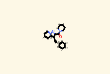 C#Cc1c(C(=O)N2CCCCC2)nn2ccccc12.c1ccccc1